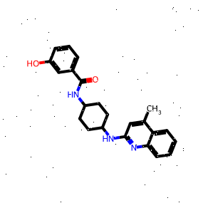 Cc1cc(NC2CCC(NC(=O)c3cccc(O)c3)CC2)nc2ccccc12